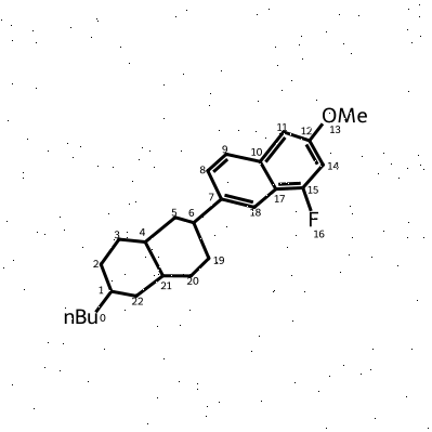 CCCCC1CCC2CC(c3ccc4cc(OC)cc(F)c4c3)CCC2C1